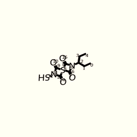 CCC(CC)N1C(=O)S2(C(=O)N(S)C2=O)C1=O